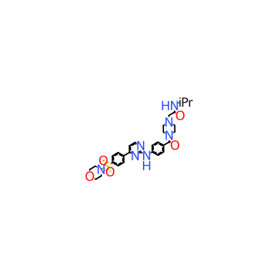 CC(C)NC(=O)CN1CCN(C(=O)c2ccc(Nc3nccc(-c4ccc(S(=O)(=O)N5CCOCC5)cc4)n3)cc2)CC1